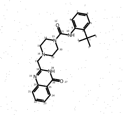 CC(C)(C)c1ccccc1NC(=O)N1CCN(Cc2nc3ccccc3c(=O)[nH]2)CC1